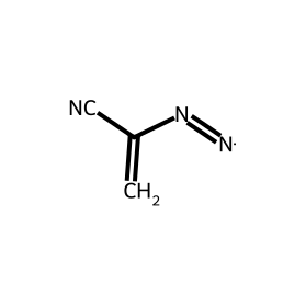 C=C(C#N)N=[N]